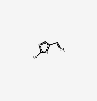 C=Cc1csc(N)n1